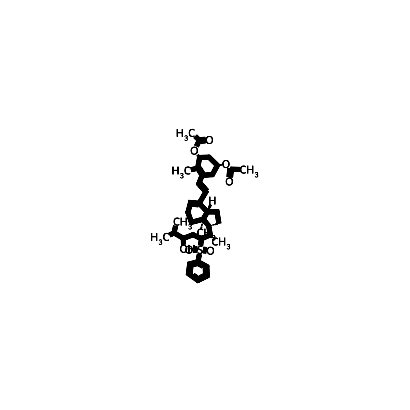 CC(=O)O[C@@H]1CC(C=CC2=CCC[C@]3(C)[C@@H]([C@H](C)C(CC(O)C(C)C)S(=O)(=O)c4ccccc4)CC[C@@H]23)=C(C)[C@@H](OC(C)=O)C1